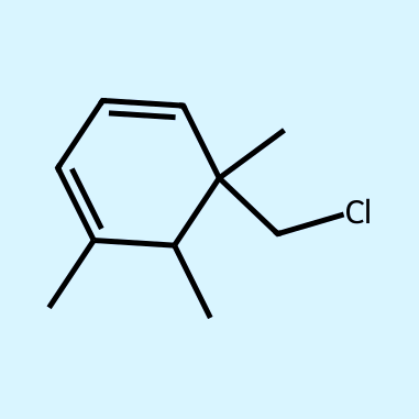 CC1=CC=CC(C)(CCl)C1C